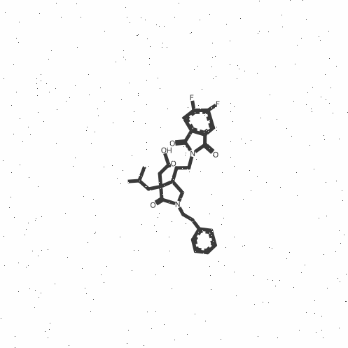 CC(C)CC1(CC(=O)O)C(=O)N(CCc2ccccc2)CC1CCN1C(=O)c2cc(F)c(F)cc2C1=O